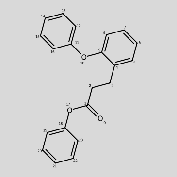 O=C(CCc1ccccc1Oc1ccccc1)Oc1ccccc1